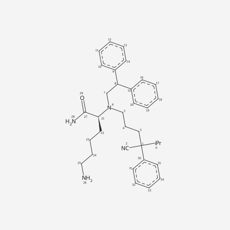 CC(C)C(C#N)(CCCN(CC(c1ccccc1)c1ccccc1)[C@@H](CCCCN)C(N)=O)c1ccccc1